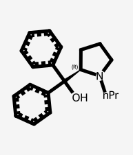 CCCN1CCC[C@@H]1C(O)(c1ccccc1)c1ccccc1